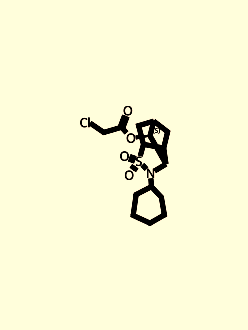 O=C(CCl)O[C@H]1C2CC3C1N(C1CCCCC1)S(=O)(=O)C3C2